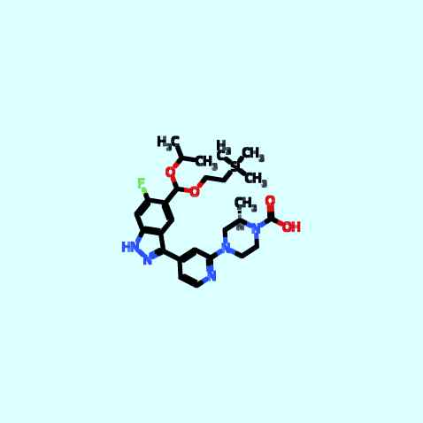 CC(C)OC(OCC[Si](C)(C)C)c1cc2c(-c3ccnc(N4CCN(C(=O)O)[C@@H](C)C4)c3)n[nH]c2cc1F